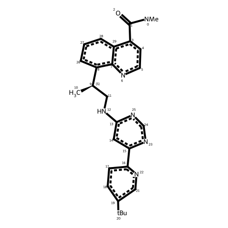 CNC(=O)c1ccnc2c([C@H](C)CNc3cc(-c4ccc(C(C)(C)C)cn4)ncn3)cccc12